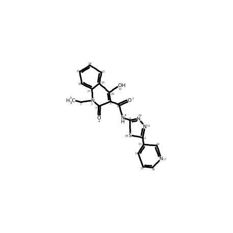 CCn1c(=O)c(C(=O)Nc2nnc(-c3cccnc3)s2)c(O)c2ccccc21